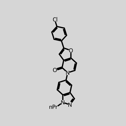 CCCn1ncc2cc(-n3ccc4oc(-c5ccc(Cl)cc5)cc4c3=O)ccc21